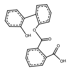 O=C(O)c1ccccc1C(=O)Oc1ccccc1-c1ccccc1O